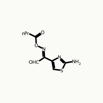 CCCC(=O)O/N=C(\[C]=O)c1csc(N)n1